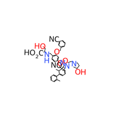 Cc1ccccc1C1=CC=CC(COc2cc(OCc3cccc(C#N)c3)c(CNC(CO)C(=O)O)cc2[N+](=O)[O-])(c2noc(CN3CC[C@@H](O)C3)n2)C1C